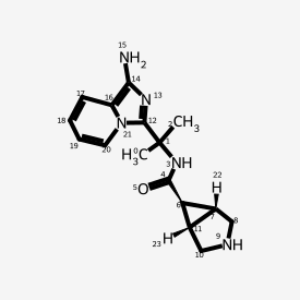 CC(C)(NC(=O)[C@H]1[C@@H]2CNC[C@@H]21)c1nc(N)c2ccccn12